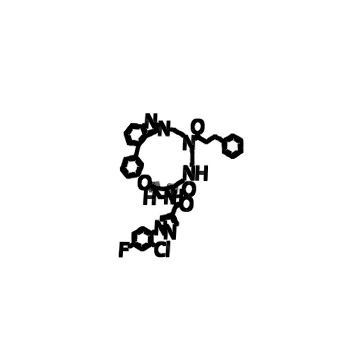 O=C1NCCN(C(=O)CCc2ccccc2)CCn2cc3c(cccc3n2)-c2cccc(c2)O[C@H]2C[C@@H]1N(C(=O)c1cnn(-c3ccc(F)cc3Cl)c1)C2